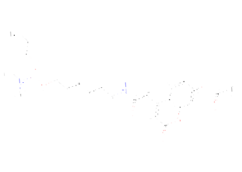 CCCN(CCC)P(OCCC#N)OCCCCCCNC(=O)Cc1cc(=O)oc2cc(OC(=O)C(C)(C)C)ccc12